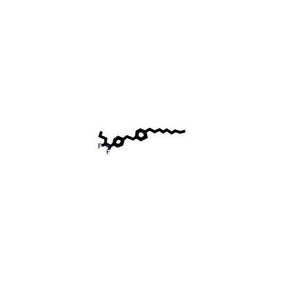 CCCCCCCCCc1ccc(CCc2ccc(/C(F)=C(/F)CCC)cc2)cc1